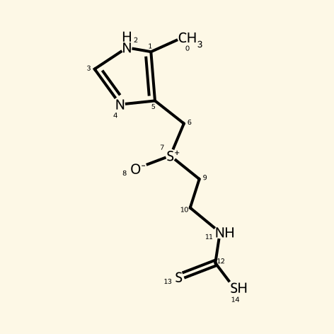 Cc1[nH]cnc1C[S+]([O-])CCNC(=S)S